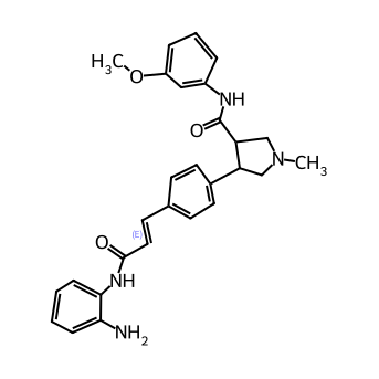 COc1cccc(NC(=O)C2CN(C)CC2c2ccc(/C=C/C(=O)Nc3ccccc3N)cc2)c1